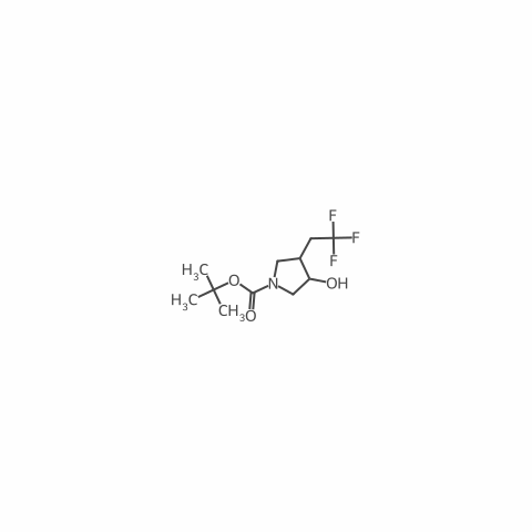 CC(C)(C)OC(=O)N1CC(O)C(CC(F)(F)F)C1